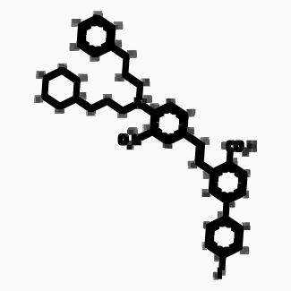 O=C(O)c1ccc(-c2ccc(F)cc2)cc1/C=C/c1ccc(N(CCCc2ccccc2)CCCC2CCCCC2)c([N+](=O)[O-])c1